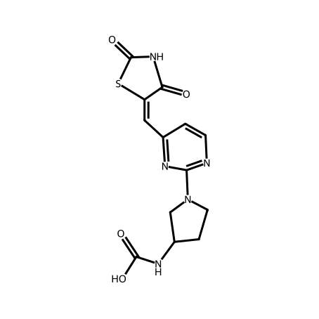 O=C(O)NC1CCN(c2nccc(/C=C3/SC(=O)NC3=O)n2)C1